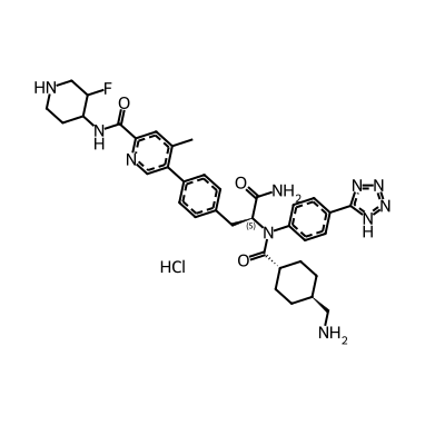 Cc1cc(C(=O)NC2CCNCC2F)ncc1-c1ccc(C[C@@H](C(N)=O)N(c2ccc(-c3nnn[nH]3)cc2)C(=O)[C@H]2CC[C@H](CN)CC2)cc1.Cl